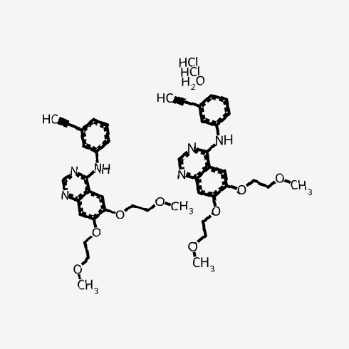 C#Cc1cccc(Nc2ncnc3cc(OCCOC)c(OCCOC)cc23)c1.C#Cc1cccc(Nc2ncnc3cc(OCCOC)c(OCCOC)cc23)c1.Cl.Cl.O